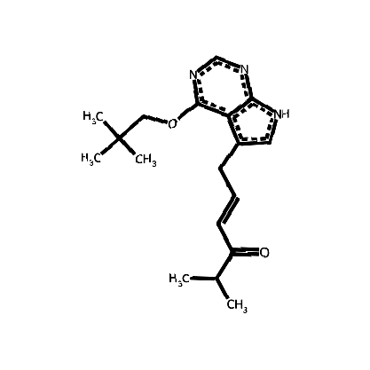 CC(C)C(=O)C=CCc1c[nH]c2ncnc(OCC(C)(C)C)c12